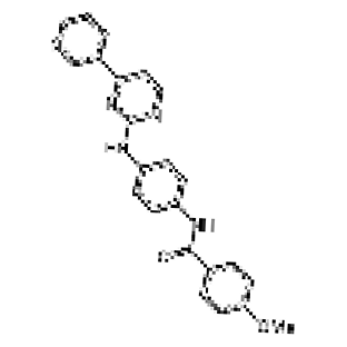 COc1ccc(C(=O)Nc2ccc(Nc3nccc(-c4cccnc4)n3)cc2)cc1